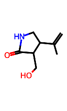 C=C(C)C1CNC(=O)C1CO